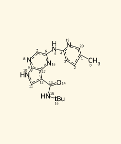 Cc1ccc(Nc2cnc3[nH]cc(C(=O)NC(C)(C)C)c3n2)nc1